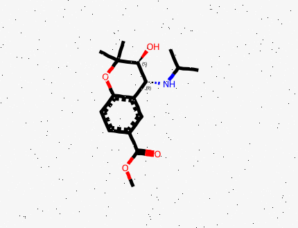 COC(=O)c1ccc2c(c1)[C@@H](NC(C)C)[C@H](O)C(C)(C)O2